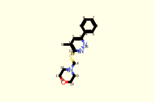 Cc1cc(-c2ccccc2)nnc1SCN1CCOCC1